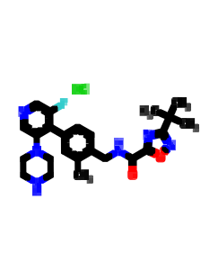 Cc1cc(-c2c(F)cncc2N2CCNCC2)ccc1CNC(=O)c1nc(C(C)(C)C)no1.Cl